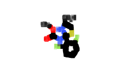 CC(C)(C)OC(=O)NC1(c2c(F)cccc2F)NC(C(=O)O)=CS1